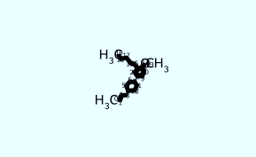 CC=CC[C@H]1CC[C@H](c2ccc(OC)c(CCCCC)c2)CC1